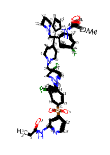 C=CC(=O)Nc1cc(S(=O)(=O)c2ccc(N3CC(F)(CN4CCC(C(CN5CCC5)(c5cccc(F)c5)[C@H]5CCC[C@@H]5NC(=O)OC)CC4)C3)c(F)c2)ccn1